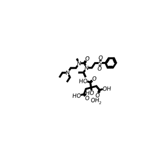 CCN(CC)CCN(C)C(=O)N(CCS(=O)(=O)c1ccccc1)C(C)C.O.O=C(O)CC(O)(CC(=O)O)C(=O)O